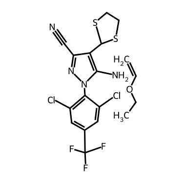 C=COCC.N#Cc1nn(-c2c(Cl)cc(C(F)(F)F)cc2Cl)c(N)c1C1SCCS1